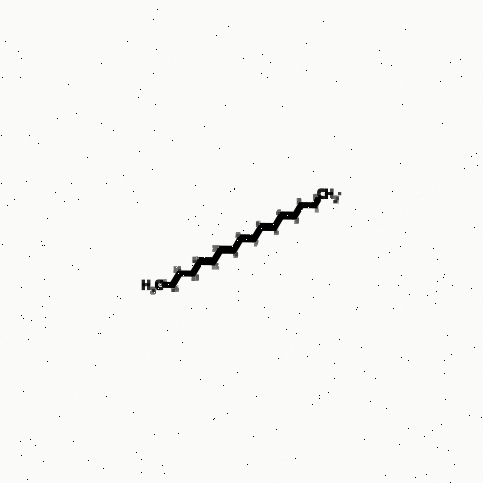 [CH2]CCC=CC=CC=CC=CC=CCCCC